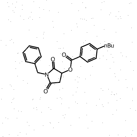 CCCCc1ccc(C(=O)OC2CC(=O)N(Cc3ccccc3)C2=O)cc1